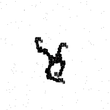 CCCCCCc1ccc(-c2ccc(C#Cc3cc(C#Cc4ccc(-c5ccc(CCCCCC)s5)s4)c(-c4sc(C#Cc5ccc(-c6ccc(CCCCCC)s6)s5)cc4-c4ccc(-c5ccc(CCCCCC)s5)s4)s3)s2)s1